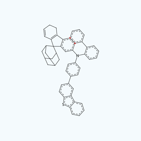 C1=CC2=C(CC1)c1ccc(N(c3ccc(-c4ccc5sc6ccccc6c5c4)cc3)c3ccccc3-c3ccccc3)cc1C21C2CC3CC(C2)CC1C3